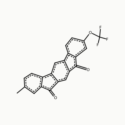 Cc1ccc2c(c1)c(=O)c1cc3c(=O)c4cc(OC(F)(F)F)ccc4c3cc12